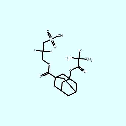 CC(C)(Br)C(=O)OC12CC3CC(C1)CC(C(=O)OCC(F)(F)CS(=O)(=O)O)(C3)C2